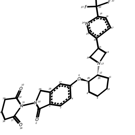 O=C1c2ccc(O[C@@H]3CCCC[C@H]3N3CC(c4ccc(C(F)(F)F)nc4)C3)cc2CN1N1C(=O)CCCC1=O